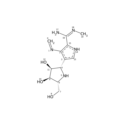 C=Nc1c([C@@H]2N[C@H](CO)[C@@H](O)[C@H]2O)c[nH]c1/C(N)=N\C